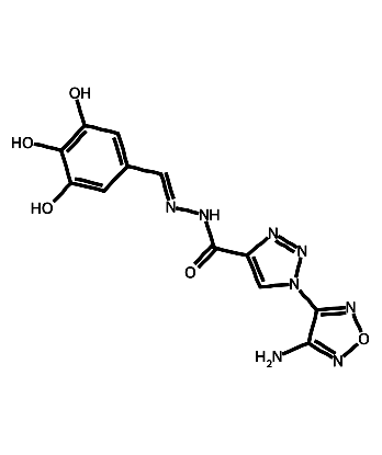 Nc1nonc1-n1cc(C(=O)N/N=C/c2cc(O)c(O)c(O)c2)nn1